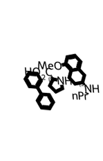 CCCN[C@H]1CCc2c(cccc2OC)C1.O=C(O)[C@@H]1CCCN1.c1ccc(-c2ccccc2)cc1